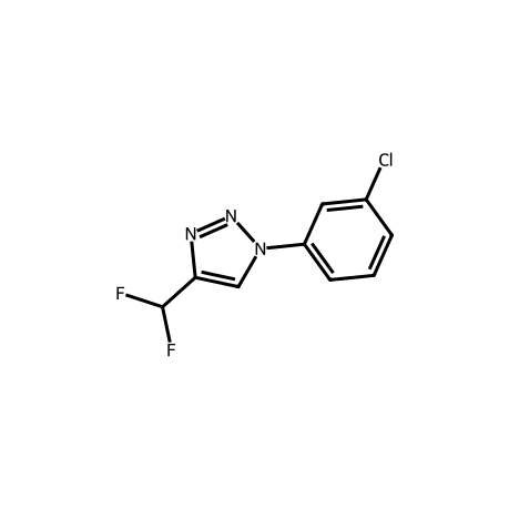 FC(F)c1cn(-c2cccc(Cl)c2)nn1